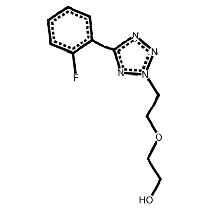 OCCOCCn1nnc(-c2ccccc2F)n1